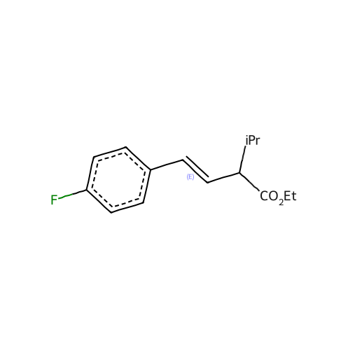 CCOC(=O)C(/C=C/c1ccc(F)cc1)C(C)C